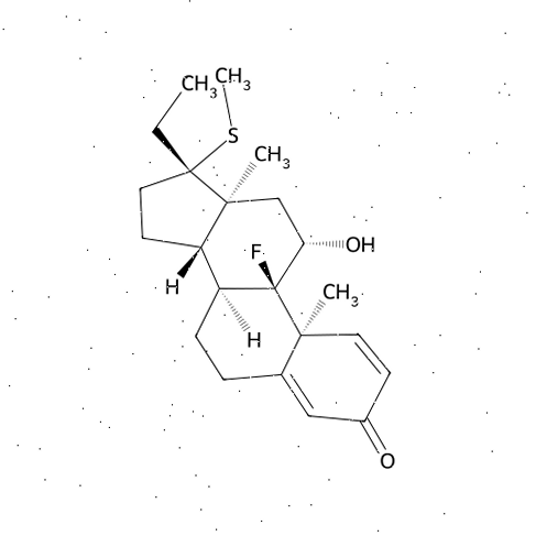 CC[C@]1(SC)CC[C@H]2[C@@H]3CCC4=CC(=O)C=C[C@]4(C)[C@@]3(F)[C@@H](O)C[C@@]21C